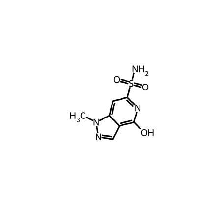 Cn1ncc2c(O)nc(S(N)(=O)=O)cc21